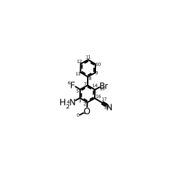 COc1c(N)c(F)c(-c2ccccc2)c(Br)c1C#N